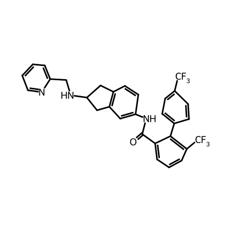 O=C(Nc1ccc2c(c1)CC(NCc1ccccn1)C2)c1cccc(C(F)(F)F)c1-c1ccc(C(F)(F)F)cc1